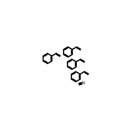 C#N.C=Cc1ccccc1.C=Cc1ccccc1.C=Cc1ccccc1.C=Cc1ccccc1